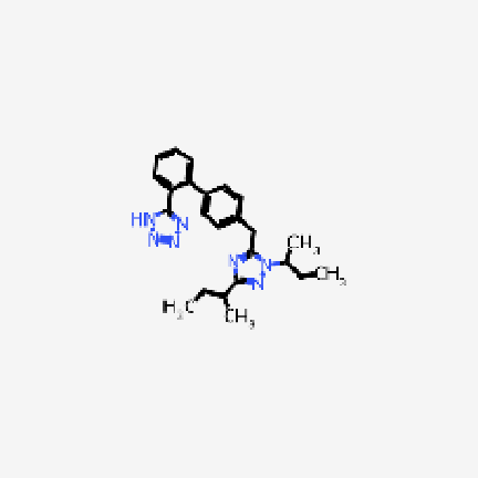 CCC(C)c1nc(Cc2ccc(-c3ccccc3-c3nnn[nH]3)cc2)n(C(C)CC)n1